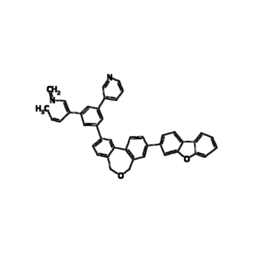 C=N/C=C(\C=C/C)c1cc(-c2cccnc2)cc(-c2ccc3c(c2)-c2ccc(-c4ccc5c(c4)oc4ccccc45)cc2COC3)c1